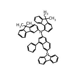 CC1(C)c2ccccc2-c2cc(N(c3cc(-c4ccccc4)c4cc(-n5c6ccccc6c6ccccc65)ccc4c3)c3cccc4c3-c3ccccc3C4(C)C)ccc21